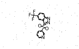 O=S(=O)(c1cccnc1)n1nnc2ccc(C(F)(F)F)cc21